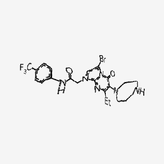 CCc1nc2n(CC(=O)Nc3ccc(C(F)(F)F)cc3)cc(Br)n2c(=O)c1N1CCNCC1